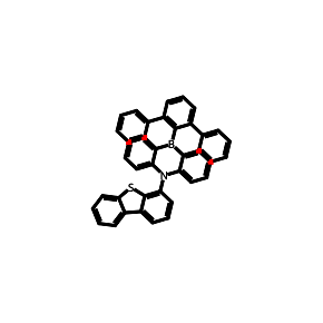 c1ccc(-c2cccc(-c3ccccc3)c2B2c3ccccc3N(c3cccc4c3sc3ccccc34)c3ccccc32)cc1